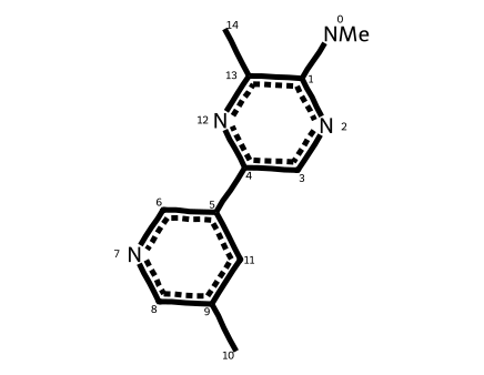 CNc1ncc(-c2cncc(C)c2)nc1C